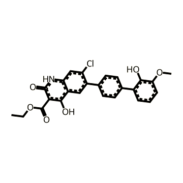 CCOC(=O)c1c(O)c2cc(-c3ccc(-c4cccc(OC)c4O)cc3)c(Cl)cc2[nH]c1=O